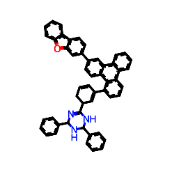 C1=CC(c2cccc3c4ccccc4c4cc(-c5ccc6c(c5)oc5ccccc56)ccc4c23)=CC(C2=NC(c3ccccc3)NC(c3ccccc3)N2)C1